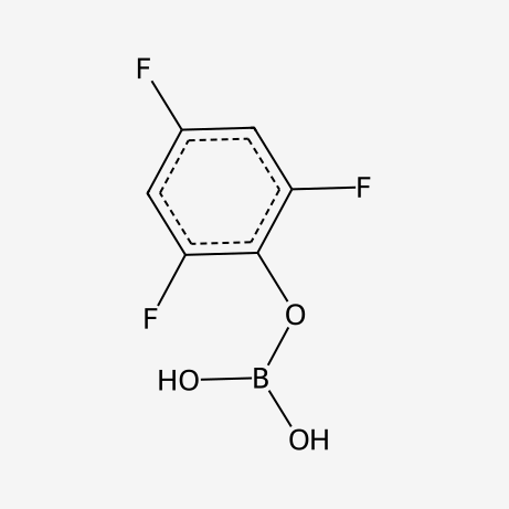 OB(O)Oc1c(F)cc(F)cc1F